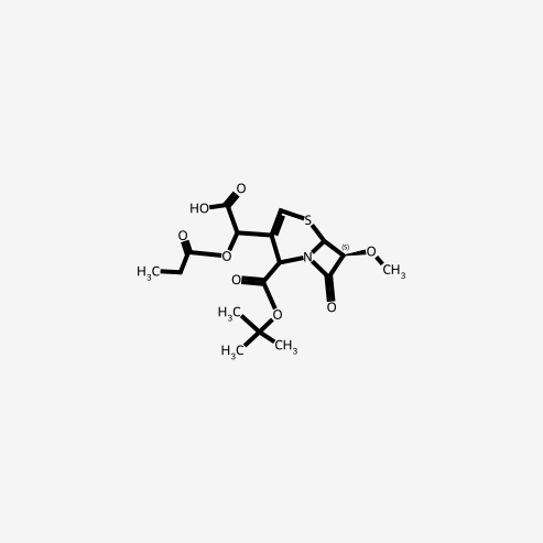 CCC(=O)OC(C(=O)O)C1=CSC2[C@@H](OC)C(=O)N2C1C(=O)OC(C)(C)C